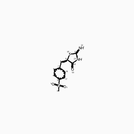 CS(=O)(=O)c1ccc(C=C2SC(=N)NC2=O)cc1